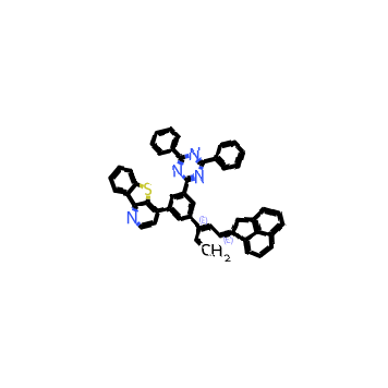 C=C/C(=C\C=C1/Cc2cccc3cccc1c23)c1cc(-c2nc(-c3ccccc3)nc(-c3ccccc3)n2)cc(-c2ccnc3c2sc2ccccc23)c1